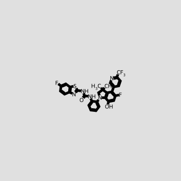 CC1(C)CN(c2ccccc2NC(=O)Nc2nc3ccc(F)cc3s2)c2c(O)cc(F)c(-c3ccc(C(F)(F)F)nc3)c21